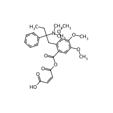 CCC(Cc1c(C(=O)OC(=O)/C=C\C(=O)O)cc(OC)c(OC)c1OC)(c1ccccc1)N(C)C